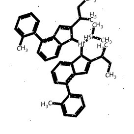 CCC(C)C1=Cc2c(-c3ccccc3C)cccc2[CH]1[Hf]([CH]1C(C(C)CC)=Cc2c(-c3ccccc3C)cccc21)[SiH](C)C